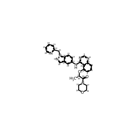 C[C@@H](Oc1cccc2ncnc(Nc3ccc4c(cnn4Cc4ccccn4)c3)c12)C(=O)N1CCOCC1